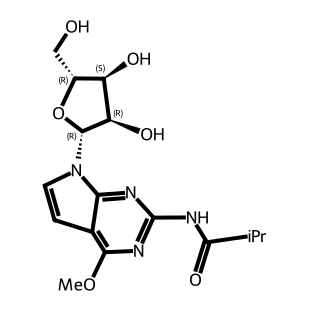 COc1nc(NC(=O)C(C)C)nc2c1ccn2[C@@H]1O[C@H](CO)[C@@H](O)[C@H]1O